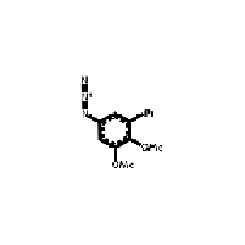 COc1cc(N=[N+]=[N-])cc(C(C)C)c1OC